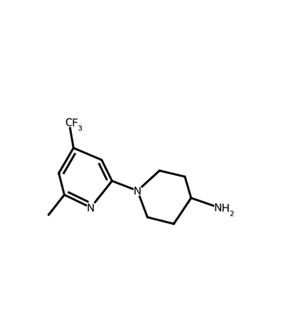 Cc1cc(C(F)(F)F)cc(N2CCC(N)CC2)n1